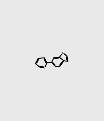 [c]1csc2cc(-c3ccccn3)ccc12